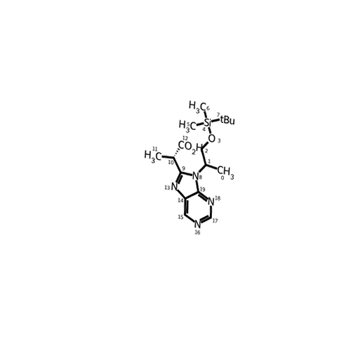 CC(CO[Si](C)(C)C(C)(C)C)n1c([C@H](C)C(=O)O)nc2cncnc21